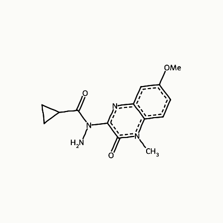 COc1ccc2c(c1)nc(N(N)C(=O)C1CC1)c(=O)n2C